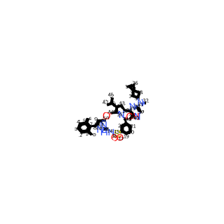 Cc1cccc(C)c1-c1cc2nc(n1)NS(=O)(=O)c1cccc(c1)C(O)N1C(c3nc(N(C)C4CC5(CC5)C4)cnc3C)CC(C(C)C)C1CO2